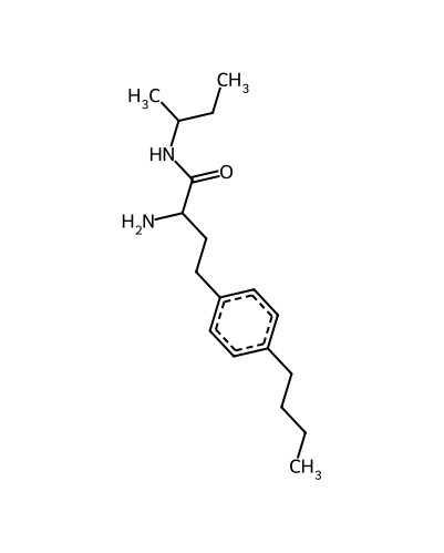 CCCCc1ccc(CCC(N)C(=O)NC(C)CC)cc1